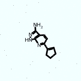 Nc1n[nH]c2nc(C3=CCCC3)ccc12